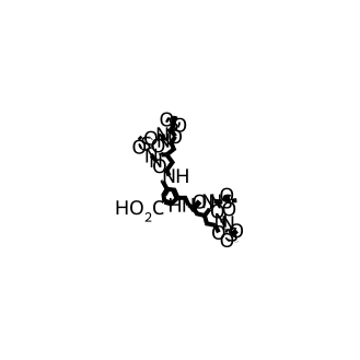 CS(=O)(=O)c1nnc(CC(CC(=O)NCc2cc(CNC(=O)CC(Cc3nnc(S(C)(=O)=O)o3)c3nnc(S(C)(=O)=O)o3)cc(C(=O)O)c2)c2nnc(S(C)(=O)=O)o2)o1